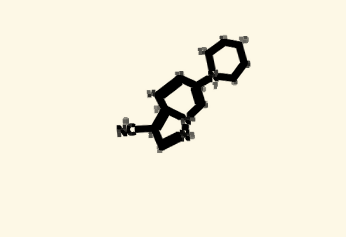 N#Cc1cnn2cc(N3CCCCC3)ccc12